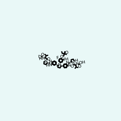 CCC1(COc2c(F)cc(N3[C@@H](c4ccc5nc([C@@H]6CCCN6C(=O)[C@@H](NC(=O)O)C(C)C)[nH]c5c4)CC[C@@H]3c3ccc4nc([C@@H]5CCCN5C(=O)[C@@H](NC(=O)OC)C(C)C)[nH]c4c3)cc2F)COC1